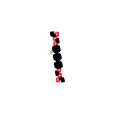 C=CC(=O)O/C=C\Oc1ccc(-c2ccc(-c3ccc(O/C=C\OC(=O)C=C)cc3F)cc2)cc1